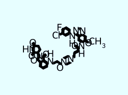 COc1cc2ncnc(Nc3ccc(F)c(Cl)c3)c2cc1NC(=O)/C=C/CN1CCN(C(=O)CCNc2cccc3c2C(=O)N(C2CCC(=O)NC2=O)C3=O)CC1